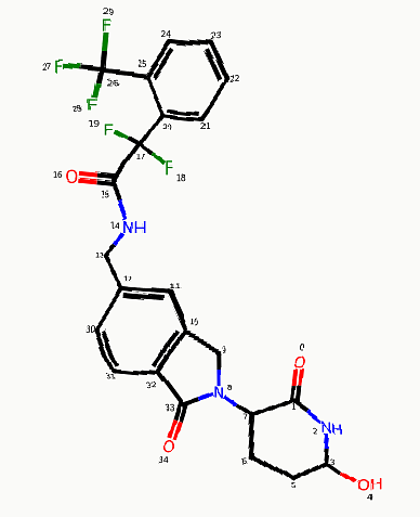 O=C1NC(O)CCC1N1Cc2cc(CNC(=O)C(F)(F)c3ccccc3C(F)(F)F)ccc2C1=O